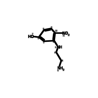 NCCNc1cc(O)ccc1[N+](=O)[O-]